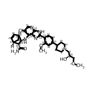 COC[C@@H](O)CN1CCC(c2ccc(-c3nc4c(N[C@H]5[C@@H](C(N)=O)[C@@H]6C=C[C@H]5C6)c(Cl)cnc4[nH]3)c(OC)c2)CC1